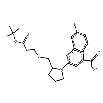 CC(C)(C)OC(=O)CCOCC1CCCN1c1cc(C(=O)O)c2ccc(Br)cc2n1